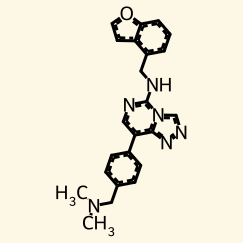 CN(C)Cc1ccc(-c2cnc(NCc3cccc4occc34)n3cnnc23)cc1